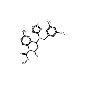 CCC1CC(N(Cc2cc(C(F)(F)F)cc(C(F)(F)F)c2)c2nn[nH]n2)c2nc(C)ccc2N1C(=O)OC(C)C